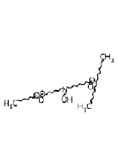 CCCCCCCCC(CCCCCCCC)OC(=O)CCCCCCCN(CCO)CCCCCCOC(=O)OCCCCCCC